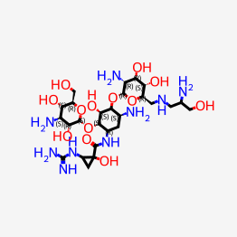 N=C(N)NC1CC1(O)C(=O)N[C@@H]1C[C@H](N)C(O[C@H]2O[C@H](CNCC(N)CO)[C@@H](O)[C@H](O)[C@H]2N)[C@H](O)[C@H]1O[C@H]1O[C@H](CO)[C@@H](O)[C@H](N)[C@H]1O